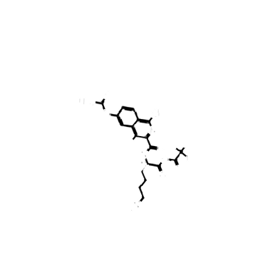 CC(C)Oc1ccc2c(Cl)nc(C(=O)N[C@H](CCCCN)C(=O)OC(=O)C(F)(F)F)c(O)c2c1